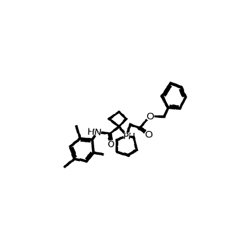 Cc1cc(C)c(NC(=O)C2([PH]3(CC(=O)OCc4ccccc4)CCCCC3)CCC2)c(C)c1